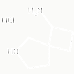 Cl.NC1CCC12CCNC2